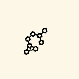 c1ccc(-c2cc(-c3ccccc3)cc(-c3cccc(-c4cccc(-c5cc6c7c(c5)c5ccccc5n7C5CCCCC65)c4)c3)c2)cc1